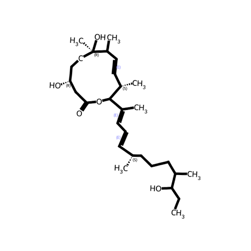 CCC(O)C(C)CCC[C@H](C)/C=C/C=C(\C)C1OC(=O)C[C@H](O)CC[C@@](C)(O)C(C)/C=C/[C@@H]1C